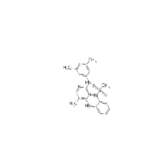 Cc1cc(C)cc(Nc2ncc(C)c(Nc3ccccc3NS(C)(=O)=O)n2)c1